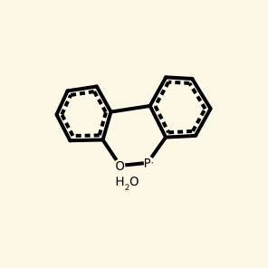 O.c1ccc2c(c1)O[P]c1ccccc1-2